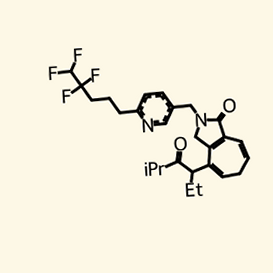 CCC(C(=O)C(C)C)C1=CCC=CC2=C1CN(Cc1ccc(CCCC(F)(F)C(F)F)nc1)C2=O